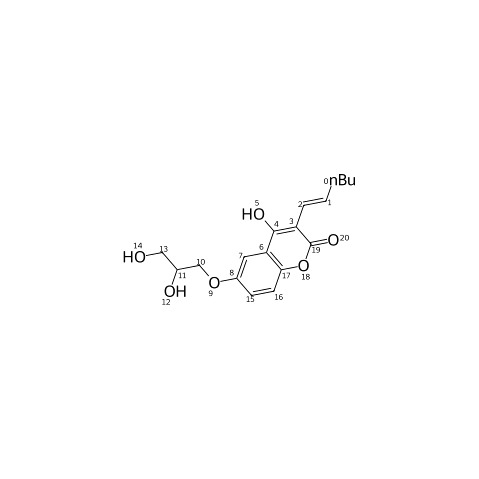 CCCCC=Cc1c(O)c2cc(OCC(O)CO)ccc2oc1=O